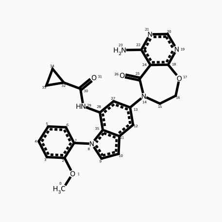 COc1ccccc1-n1ccc2cc(N3CCOc4ncnc(N)c4C3=O)cc(NC(=O)C3CC3)c21